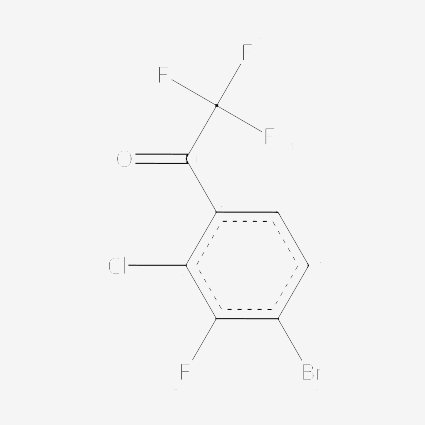 O=C(c1ccc(Br)c(F)c1Cl)C(F)(F)F